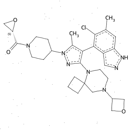 Cc1cc2[nH]ncc2c(-c2c(N3CCN(C4COC4)CC34CCC4)nn(C3CCN(C(=O)[C@@H]4CO4)CC3)c2C)c1Cl